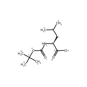 CC(C)C[C@H](NC(=O)OC(C)(C)C)C(=O)Cl